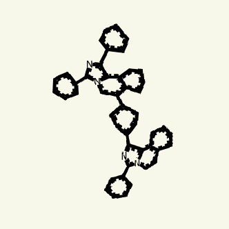 c1ccc(-c2nc(-c3ccccc3)n3cc(-c4ccc(-c5nc(-c6ccccc6)n6ccc7ccccc7c56)cc4)c4ccccc4c23)cc1